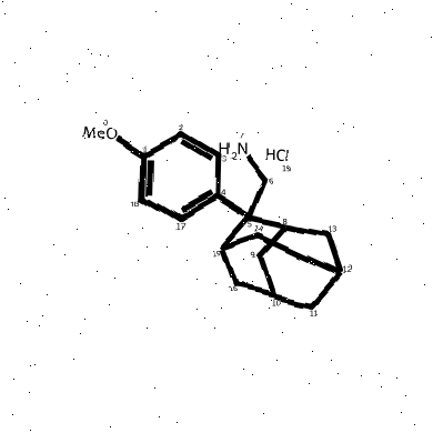 COc1ccc(C2(CN)C3CC4CC(C3)CC2C4)cc1.Cl